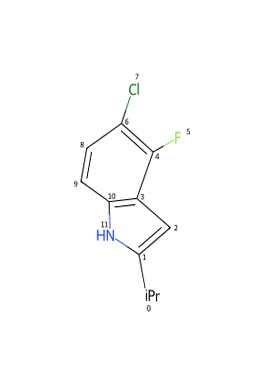 CC(C)c1cc2c(F)c(Cl)ccc2[nH]1